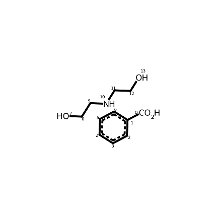 O=C(O)c1ccccc1.OCCNCCO